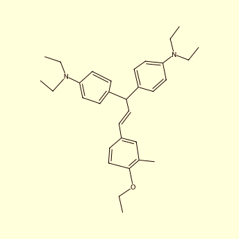 CCOc1ccc(C=CC(c2ccc(N(CC)CC)cc2)c2ccc(N(CC)CC)cc2)cc1C